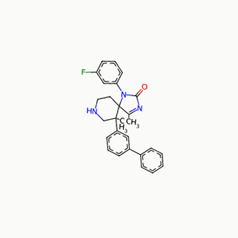 CC1=NC(=O)N(c2cccc(F)c2)C12CCNCC2(C)c1cccc(-c2ccccc2)c1